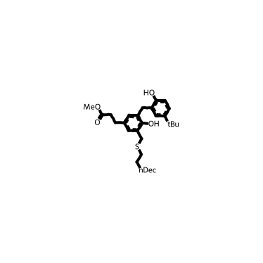 CCCCCCCCCCCCSCc1cc(CCC(=O)OC)cc(Cc2cc(C(C)(C)C)ccc2O)c1O